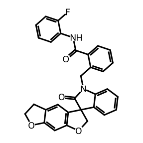 O=C(Nc1ccccc1F)c1ccccc1CN1C(=O)C2(COc3cc4c(cc32)CCO4)c2ccccc21